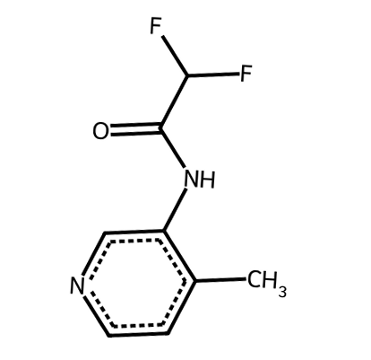 Cc1ccncc1NC(=O)C(F)F